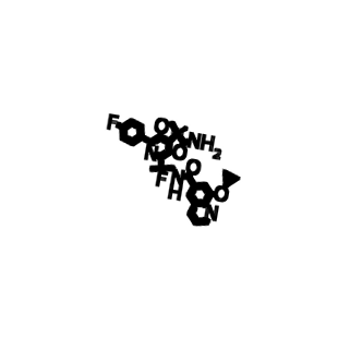 CC(F)(CNC(=O)c1cc(OC2CC2)c2ncccc2c1)c1cc2c(c(-c3ccc(F)cc3)n1)OC[C@]2(C)C(N)=O